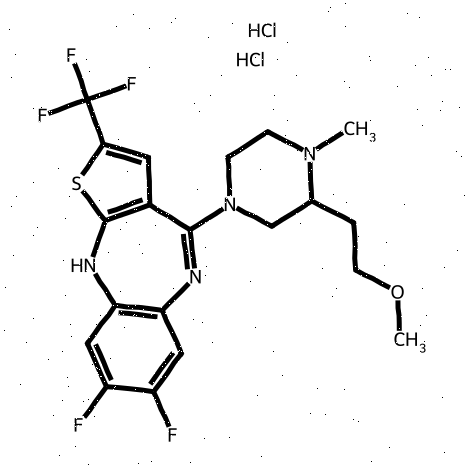 COCCC1CN(C2=Nc3cc(F)c(F)cc3Nc3sc(C(F)(F)F)cc32)CCN1C.Cl.Cl